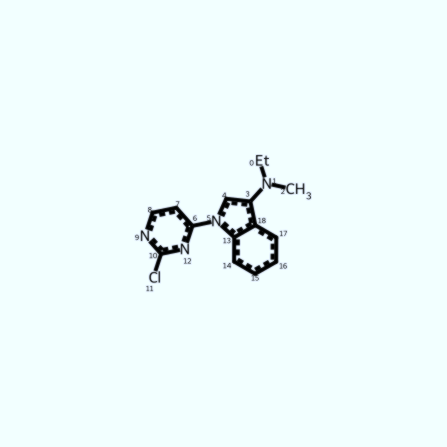 CCN(C)c1cn(-c2ccnc(Cl)n2)c2ccccc12